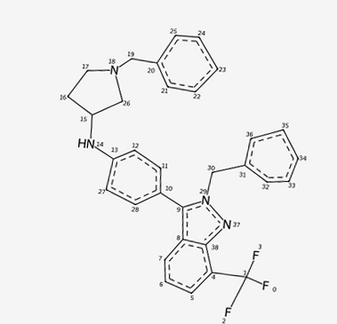 FC(F)(F)c1cccc2c(-c3ccc(NC4CCN(Cc5ccccc5)C4)cc3)n(Cc3ccccc3)nc12